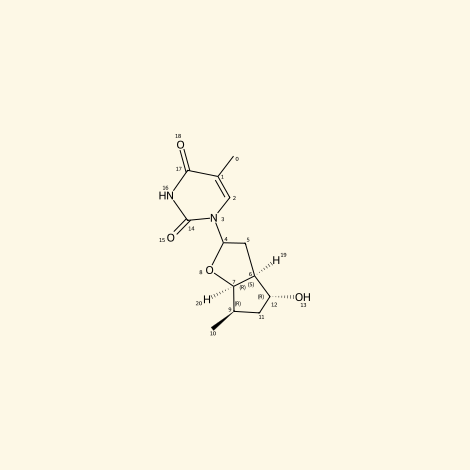 Cc1cn(C2C[C@@H]3[C@H](O2)[C@H](C)C[C@H]3O)c(=O)[nH]c1=O